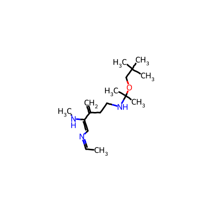 C=C(CCNC(C)(C)OCC(C)(C)C)/C(=C/N=C\C)NC